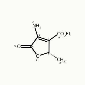 CCOC(=O)C1=C(N)C(=O)O[C@H]1C